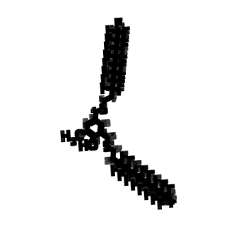 Cc1cc(CSCCC(F)(F)C(F)(F)C(F)(F)C(F)(F)C(F)(F)C(F)(F)C(F)(F)C(F)(F)F)cc(CSCCC(F)(F)C(F)(F)C(F)(F)C(F)(F)C(F)(F)C(F)(F)C(F)(F)C(F)(F)F)c1O